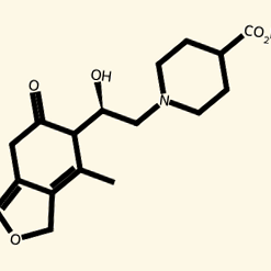 CC1=C2COC=C2CC(=O)C1[C@@H](O)CN1CCC(C(=O)O)CC1